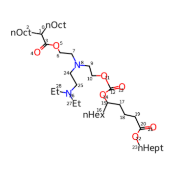 CCCCCCCCC(CCCCCCCC)C(=O)OCCN(CCOC(=O)OC(CCCCCC)CCCC(=O)OCCCCCCC)CCN(CC)CC